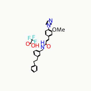 COc1cc(C=CC(=O)NCc2cccc(CCc3ccccc3)c2)ccc1-n1ccnc1.O=C(O)C(F)(F)F